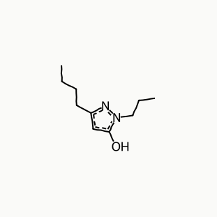 CCCCc1cc(O)n(CCC)n1